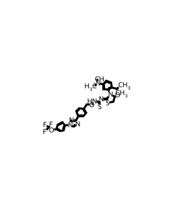 CC(C)c1ccc(N(C)C)cc1N1C(=O)CS/C1=N\C(=S)NOCc1ccc(-c2ncn(-c3ccc(OC(F)(F)F)cc3)n2)cc1